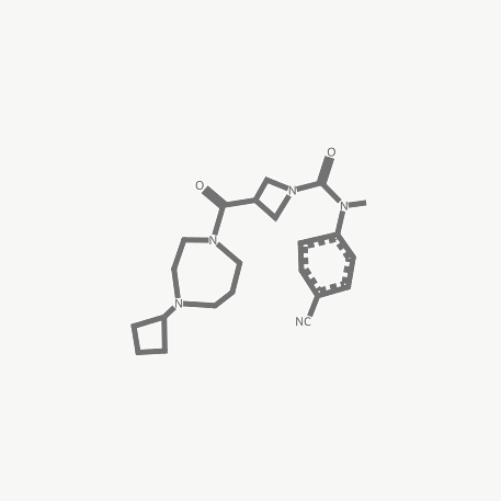 CN(C(=O)N1CC(C(=O)N2CCCN(C3CCC3)CC2)C1)c1ccc(C#N)cc1